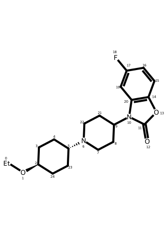 CCO[C@H]1CC[C@H](N2CCC(n3c(=O)oc4ccc(F)cc43)CC2)CC1